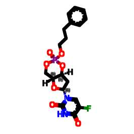 O=c1[nH]c(=O)n([C@H]2C[C@@H]3OP(=O)(OCCCc4ccccc4)OC[C@H]3O2)cc1F